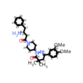 COc1ccc(C2=NN(C3CCN(C(=O)C[C@H](N)Cc4ccccc4)CC3)C(=O)C(C)(C)C2)cc1OC